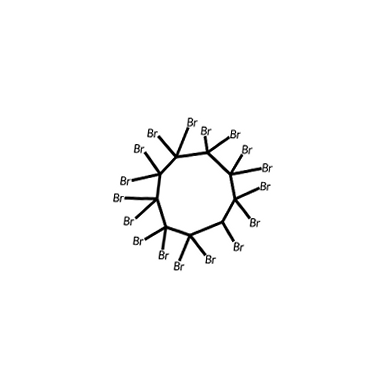 BrC1C(Br)(Br)C(Br)(Br)C(Br)(Br)C(Br)(Br)C(Br)(Br)C(Br)(Br)C(Br)(Br)C1(Br)Br